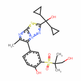 Cc1nc2sc(C(O)(C3CC3)C3CC3)nn2c1-c1ccc(O)c(S(=O)(=O)C(C)(C)CO)c1